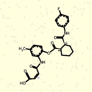 Cc1ccc(OC(=O)[C@@H]2CCCC[C@@H]2C(=O)Nc2ccc(F)cc2)c(NC(=O)/C=C\C(=O)O)c1